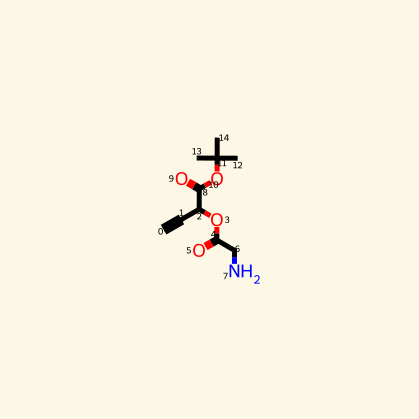 C#CC(OC(=O)CN)C(=O)OC(C)(C)C